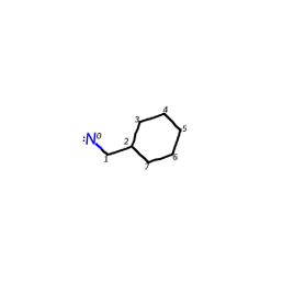 [N]CC1CCCCC1